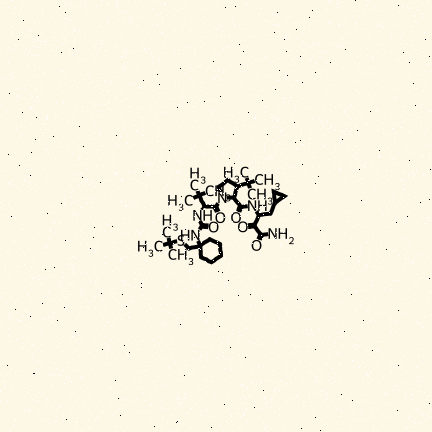 CC(C)(C)SCC1(NC(=O)N[C@H](C(=O)N2CCC(C(C)(C)C)C2C(=O)NC(CC2CC2)C(=O)C(N)=O)C(C)(C)C)CCCCC1